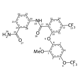 COc1cc(OC(F)(F)F)ccc1Oc1cc(C(F)(F)F)ccc1C(=O)Nc1cccc(C(N)=O)c1